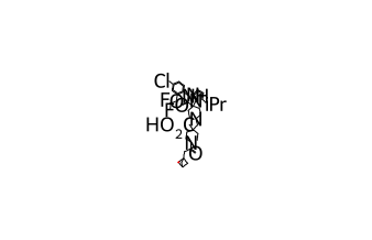 CC(C)c1ccnn1C1(C(=O)Nc2ccc(Cl)cc2OC(F)F)CCN(CC2(C(=O)O)CCN(C(=O)CC34CC(C3)C4)CC2)CC1